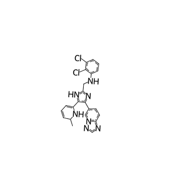 CC1C=CC=C(c2[nH]c(CNc3cccc(Cl)c3Cl)nc2-c2ccc3ncnn3c2)N1